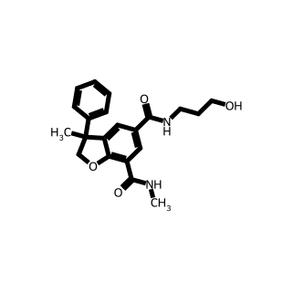 CNC(=O)c1cc(C(=O)NCCCO)cc2c1OCC2(C)c1ccccc1